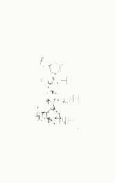 COc1cccc(NC(=O)N2CCN(c3nc(N)nc4scnc34)C(CO)C2)c1